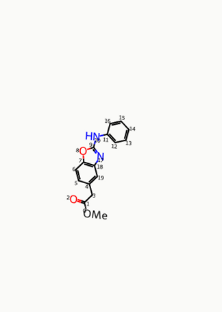 COC(=O)Cc1ccc2oc(Nc3ccccc3)nc2c1